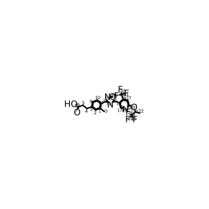 Cc1cc(CCC(=O)O)ccc1-c1noc(-c2cnc(OC(C)C(F)(F)F)cc2C(F)(F)F)n1